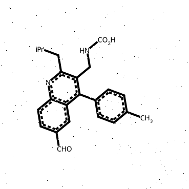 Cc1ccc(-c2c(CNC(=O)O)c(CC(C)C)nc3ccc(C=O)cc23)cc1